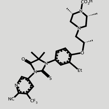 CCc1cc(N2C(=S)N(c3cnc(C#N)c(C(F)(F)F)c3)C(=O)C2(C)C)ccc1O[C@@H](C)CN1C[C@@H](C)N(C(=O)O)[C@@H](C)C1